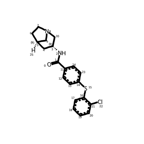 O=C(N[C@@H]1C[C@H]2CCN(C2)C1)c1ccc(Sc2ccccc2Cl)cc1